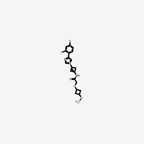 O=C(COC1CC(OC(F)(F)F)C1)NC12CC(n3cnc(-c4ccc(F)cc4F)c3)(C1)C2